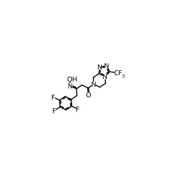 O=C(C/C(Cc1cc(F)c(F)cc1F)=N\O)N1CCn2c(nnc2C(F)(F)F)C1